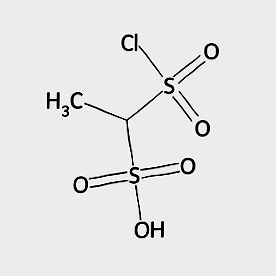 CC(S(=O)(=O)O)S(=O)(=O)Cl